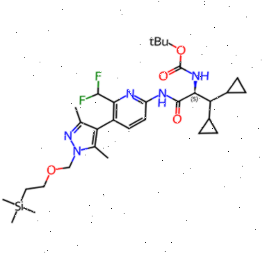 Cc1nn(COCC[Si](C)(C)C)c(C)c1-c1ccc(NC(=O)[C@@H](NC(=O)OC(C)(C)C)C(C2CC2)C2CC2)nc1C(F)F